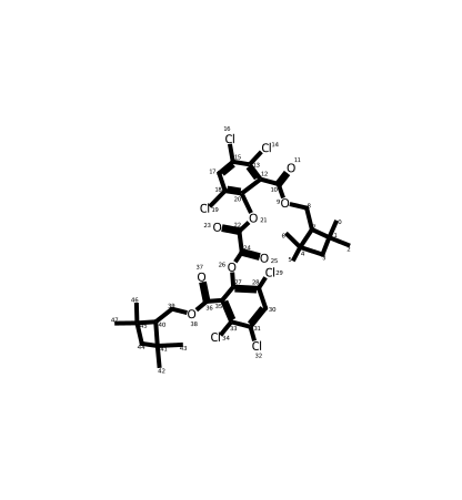 CC1(C)CC(C)(C)C1COC(=O)c1c(Cl)c(Cl)cc(Cl)c1OC(=O)C(=O)Oc1c(Cl)cc(Cl)c(Cl)c1C(=O)OCC1C(C)(C)CC1(C)C